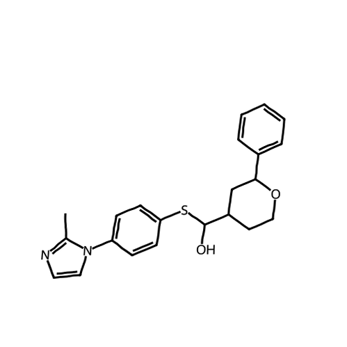 Cc1nccn1-c1ccc(SC(O)C2CCOC(c3ccccc3)C2)cc1